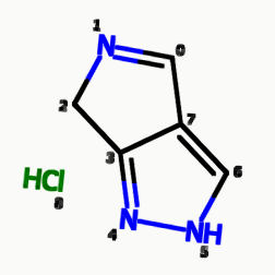 C1=NCc2n[nH]cc21.Cl